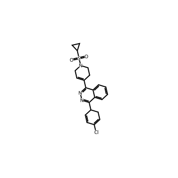 O=S(=O)(C1CC1)N1CC=C(c2nnc(C3C=CC(Cl)=CC3)c3ccccc23)CC1